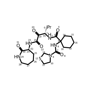 CC(C)[C@H](NC(=O)C1(NC(=O)N2CCSC2)CCCCC1)C(=O)C(=O)N[C@H]1CCCCNC1=O